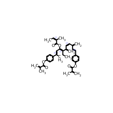 C=C(/C=C\C(=C)/C(CC)=C(/C=C(\C)c1ccc(OC(=O)C(=C)C)cc1)OC(=O)/C(C)=C\C)/C=C/c1ccc(OC(=O)C(=C)C)cc1